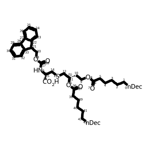 CCCCCCCCCCCCCCCC(=O)OCC[C@@H](CSC[C@H](NC(=O)OCC1c2ccccc2-c2ccccc21)C(=O)O)OC(=O)CCCCCCCCCCCCCCC